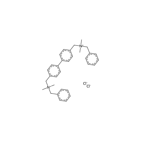 C[N+](C)(Cc1ccccc1)Cc1ccc(-c2ccc(C[N+](C)(C)Cc3ccccc3)cc2)cc1.[Cl-].[Cl-]